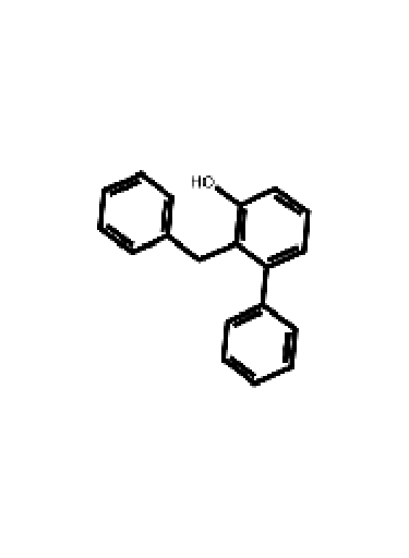 Oc1cccc(-c2ccccc2)c1Cc1ccccc1